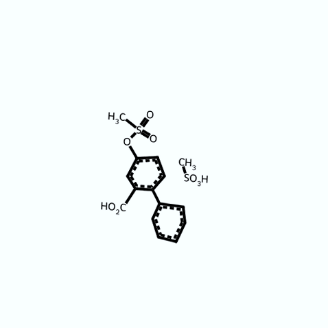 CS(=O)(=O)O.CS(=O)(=O)Oc1ccc(-c2ccccc2)c(C(=O)O)c1